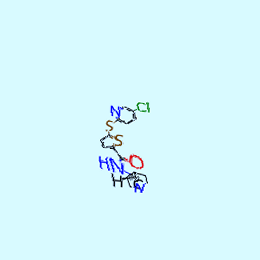 O=C(N[C@H]1CN2CCC1CC2)c1ccc(Sc2ccc(Cl)cn2)s1